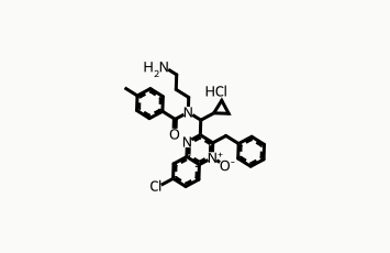 Cc1ccc(C(=O)N(CCCN)C(c2nc3cc(Cl)ccc3[n+]([O-])c2Cc2ccccc2)C2CC2)cc1.Cl